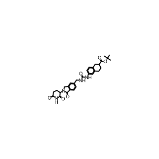 CC(C)(C)OC(=O)C1CCc2cc(NC(=O)NCc3ccc4c(c3)CN(C3CCC(=O)NC3=O)C4=O)ccc2C1